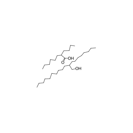 CCCCCCC(CCCC)C(=O)O.CCCCCCCCCCC(CO)CCCCCCCC